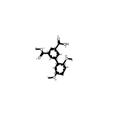 COC(=O)c1cc(C(=O)O)cc(-c2cc(OC)ccc2OC)c1